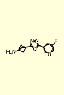 NC12CC(c3nnc(-c4cncc(F)c4)o3)(C1)C2